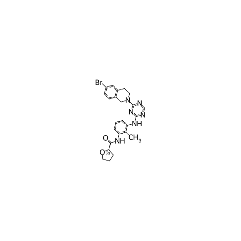 Cc1c(NC(=O)[C@H]2CCCO2)cccc1Nc1ncnc(N2CCc3cc(Br)ccc3C2)n1